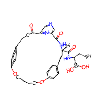 CC(C)C[C@H](NC(=O)[C@@H]1Cc2ccc(cc2)OCCCCOc2ccc(cc2)CCC(=O)c2cncc(n2)C(=O)N1)B(O)O